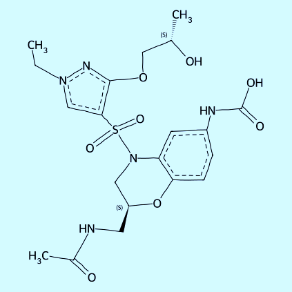 CCn1cc(S(=O)(=O)N2C[C@H](CNC(C)=O)Oc3ccc(NC(=O)O)cc32)c(OC[C@H](C)O)n1